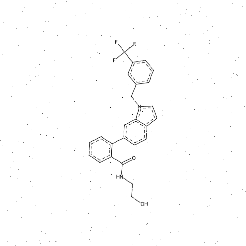 O=C(NCCO)c1ccccc1-c1ccc2ccn(Cc3cccc(C(F)(F)F)c3)c2c1